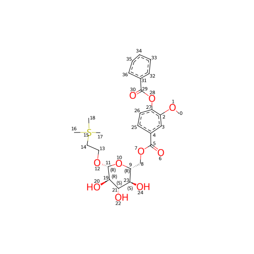 COc1cc(C(=O)OC[C@H]2O[C@@H](OCCS(C)(C)C)[C@H](O)[C@@H](O)[C@@H]2O)ccc1OC(=O)c1ccccc1